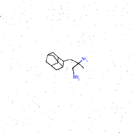 CC(N)(CN)CC1C2CC3CC(C2)CC1C3